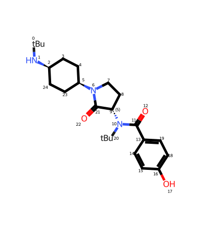 CC(C)(C)N[C@H]1CC[C@@H](N2CC[C@H](N(C(=O)c3ccc(O)cc3)C(C)(C)C)C2=O)CC1